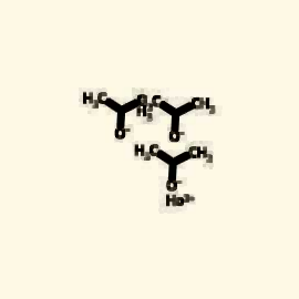 CC(C)[O-].CC(C)[O-].CC(C)[O-].[Ho+3]